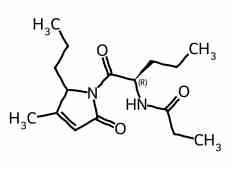 CCCC1C(C)=CC(=O)N1C(=O)[C@@H](CCC)NC(=O)CC